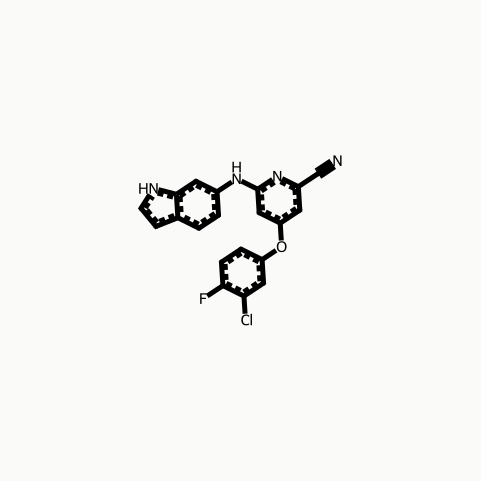 N#Cc1cc(Oc2ccc(F)c(Cl)c2)cc(Nc2ccc3cc[nH]c3c2)n1